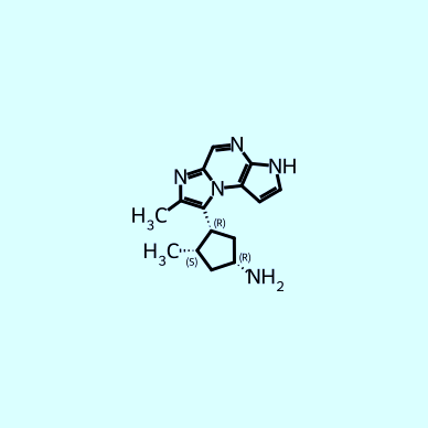 Cc1nc2cnc3[nH]ccc3n2c1[C@@H]1C[C@H](N)C[C@@H]1C